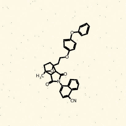 CC12CCC(CCOc3ccc(Oc4ccccc4)cc3)(O1)C1C(=O)N(c3ccc(C#N)c4ccccc34)C(=O)C12